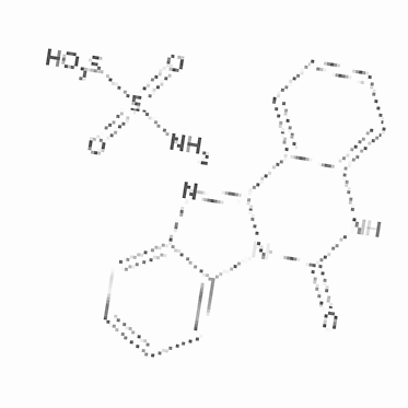 NS(=O)(=O)S(=O)(=O)O.O=c1[nH]c2ccccc2c2nc3ccccc3n12